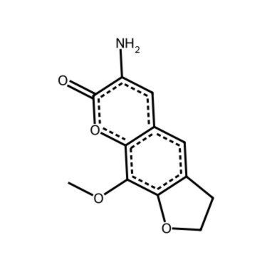 COc1c2c(cc3cc(N)c(=O)oc13)CCO2